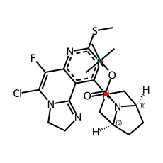 CSc1nc2c(c(N3C[C@H]4CC[C@@H](C3)N4C(=O)OC(C)(C)C)n1)C1=NCCN1C(Cl)=C2F